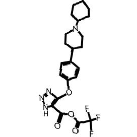 O=C(OC(=O)C(F)(F)F)c1[nH]nnc1Oc1ccc(C2CCN(C3CCCCC3)CC2)cc1